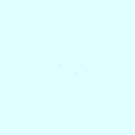 C=C(CC)/N=C(\c1ccccc1C)N(C)C1CCN(Cc2ccccc2)CC1